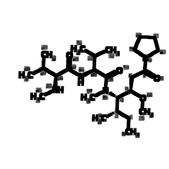 CC[C@H](C)[C@@H]([C@@H](CC(=O)N1CCCC1)OC)N(C)C(=O)[C@@H](NC(=O)[C@@H](NC)C(C)C)C(C)C